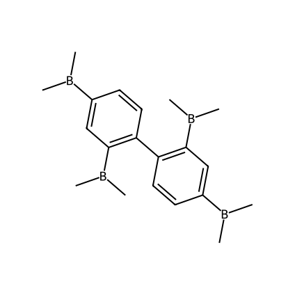 CB(C)c1ccc(-c2ccc(B(C)C)cc2B(C)C)c(B(C)C)c1